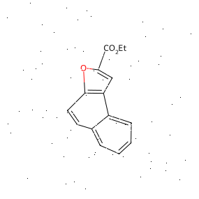 CCOC(=O)c1cc2c(ccc3ccccc32)o1